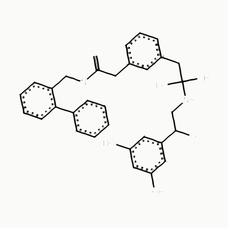 CC(C)(Cc1cccc(CC(=O)NCc2ccccc2-c2ccccc2)c1)NCC(O)c1cc(O)cc(O)c1